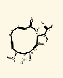 CO[C@H]1/C=C/CC/C=C/C(=O)O[C@H]([C@H](C)C(C)=O)/C(C)=C\[C@@H](C)[C@@H]1O